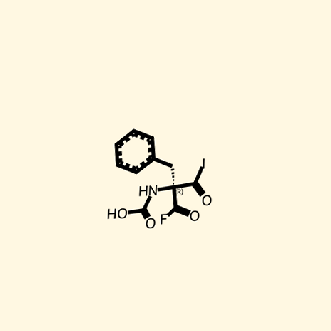 O=C(O)N[C@](Cc1ccccc1)(C(=O)F)C(=O)I